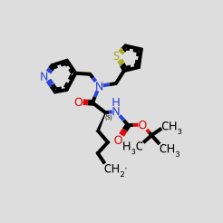 [CH2]CCC[C@H](NC(=O)OC(C)(C)C)C(=O)N(Cc1ccncc1)Cc1cccs1